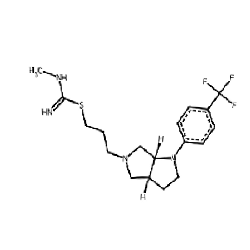 CNC(=N)SCCCN1C[C@H]2CCN(c3ccc(C(F)(F)F)cc3)[C@H]2C1